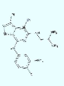 CC(N)CNc1nc(Nc2ccc(Cl)c(N)c2)c2nnc(C(C)C)c-2n1C(C)C